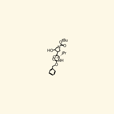 CC(C)C[C@H](NC(=O)OCc1ccccc1)C(=O)C1CN(C(=O)OC(C)(C)C)CC1O